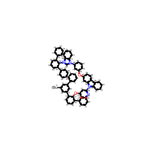 CC(C)(C)c1cc(-c2ccccc2)cc(-c2cccc(-c3ccccc3)c2Oc2ccnc(-n3c4ccccc4c4ccc(Oc5cccc(-n6c[n+](-c7c(-c8ccccc8)cccc7-c7ccccc7)c7ccccc76)c5)cc43)c2)c1